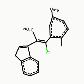 COc1ccc(C)c(C(Cl)=C(C(=O)O)C2=CCc3ccccc32)c1